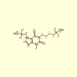 Cn1c(=O)n(CCCCC(C)(C)O)c(=O)c2c1ncn2CC(C)(C)O